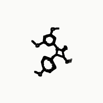 COc1ccc(C2C(O)C(=O)N2c2cc(OC)cc(OC)c2)cc1